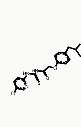 CC(C)Cc1ccc(OCC(=O)NC(=S)Nc2ccc(Cl)cn2)cc1